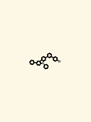 Brc1ccc(-c2cccc(-c3ccc4c5cc(-c6ccccc6)ccc5n(-c5ccccc5)c4c3)c2)cc1